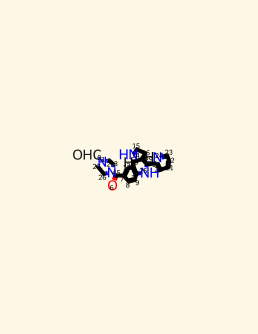 O=CN1CCN(C(=O)c2ccc3c(c2)[C@H]2NCC[C@H]2C(c2ccccn2)N3)CC1